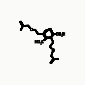 C=C(C)COCCc1ccc(C(=O)O)c(CCOCC(=C)C)c1C(=O)O